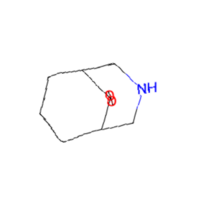 C1CC2CNCC(C1)C21OCCO1